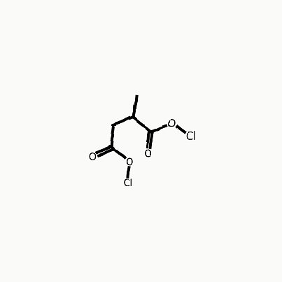 CC(CC(=O)OCl)C(=O)OCl